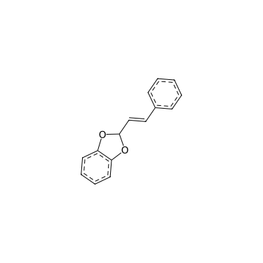 C(=CC1Oc2ccccc2O1)c1ccccc1